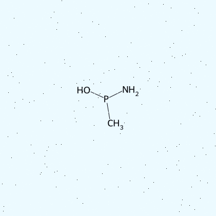 CP(N)O